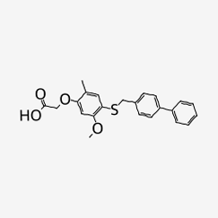 COc1cc(OCC(=O)O)c(C)cc1SCc1ccc(-c2ccccc2)cc1